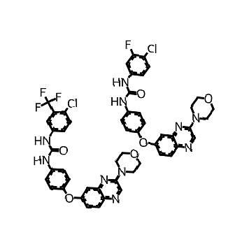 O=C(Nc1ccc(Oc2ccc3ncc(N4CCOCC4)nc3c2)cc1)Nc1ccc(Cl)c(C(F)(F)F)c1.O=C(Nc1ccc(Oc2ccc3ncc(N4CCOCC4)nc3c2)cc1)Nc1ccc(Cl)c(F)c1